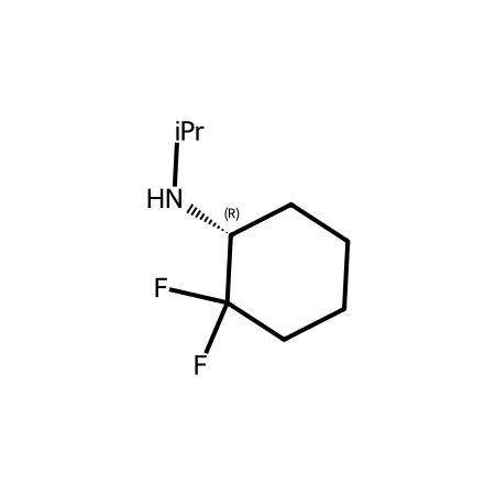 CC(C)N[C@@H]1CCCCC1(F)F